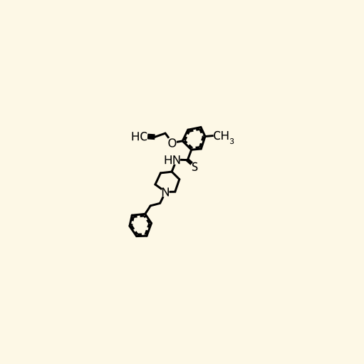 C#CCOc1ccc(C)cc1C(=S)NC1CCN(CCc2ccccc2)CC1